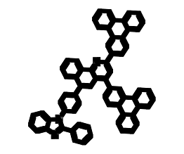 c1ccc(-c2nc3ccccc3n2-c2ccc(-c3cc4c(-c5ccc6c7ccccc7c7ccccc7c6c5)cc(-c5ccc6c7ccccc7c7ccccc7c6c5)nc4c4ccccc34)cc2)cc1